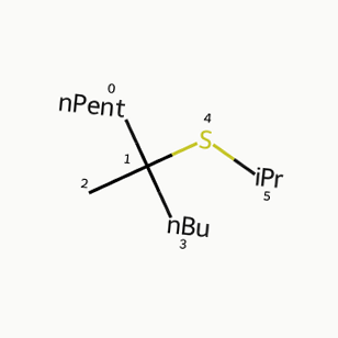 CCCCCC(C)(CCCC)SC(C)C